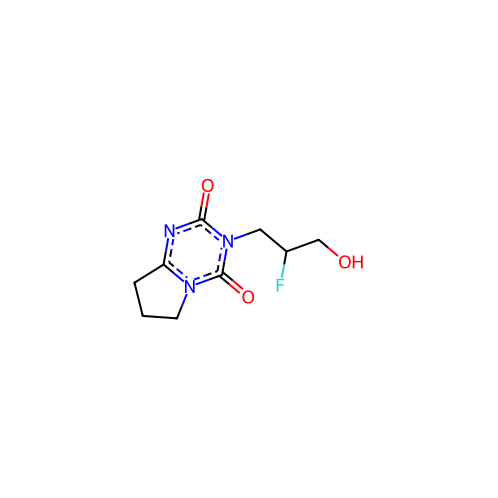 O=c1nc2n(c(=O)n1CC(F)CO)CCC2